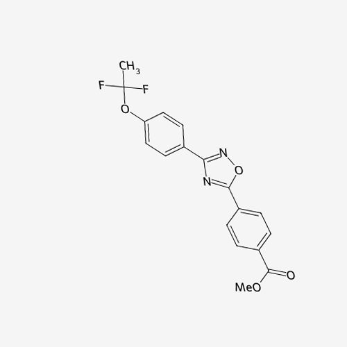 COC(=O)c1ccc(-c2nc(-c3ccc(OC(C)(F)F)cc3)no2)cc1